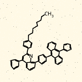 CCCCCCCCc1ccc(-c2cc(-c3ccccc3)c3cccc(-c4ccc(-c5c6ccccc6c(-c6ccccc6)c6ccccc56)cc4)c3n2)cc1